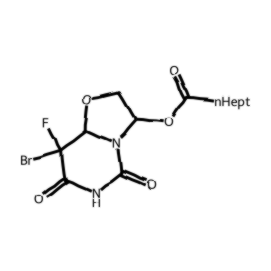 CCCCCCCC(=O)OC1COC2N1C(=O)NC(=O)C2(F)Br